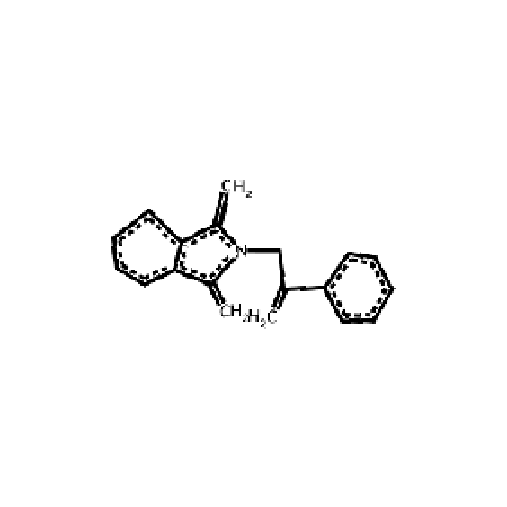 C=C(Cn1c(=C)c2ccccc2c1=C)c1ccccc1